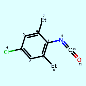 CCc1cc(Cl)cc(CC)c1N=C=O